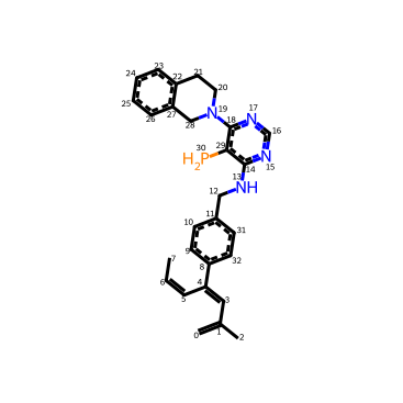 C=C(C)/C=C(\C=C/C)c1ccc(CNc2ncnc(N3CCc4ccccc4C3)c2P)cc1